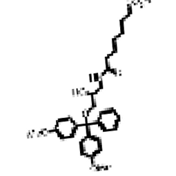 COc1ccc(C(OCC(O)CNC(=O)CCCCCCC(=O)O)(c2ccccc2)c2ccc(OC)cc2)cc1